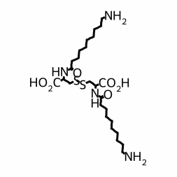 NCCCCCCCCCC(=O)NC(CSSCC(NC(=O)CCCCCCCCCN)C(=O)O)C(=O)O